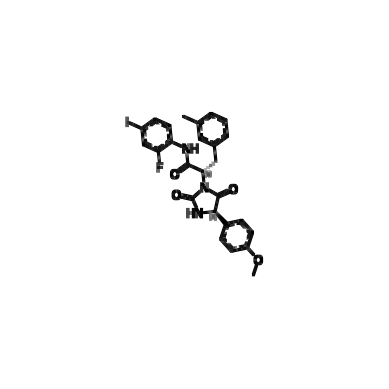 COc1ccc([C@H]2NC(=O)N([C@@H](Cc3cccc(C)c3)C(=O)Nc3ccc(I)cc3F)C2=O)cc1